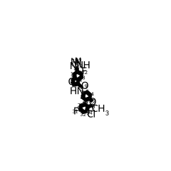 C[C@@H](Oc1ccc(NC(=O)c2coc3cc(-c4nnn[nH]4)c(F)cc23)cc1)c1ccc(F)cc1Cl